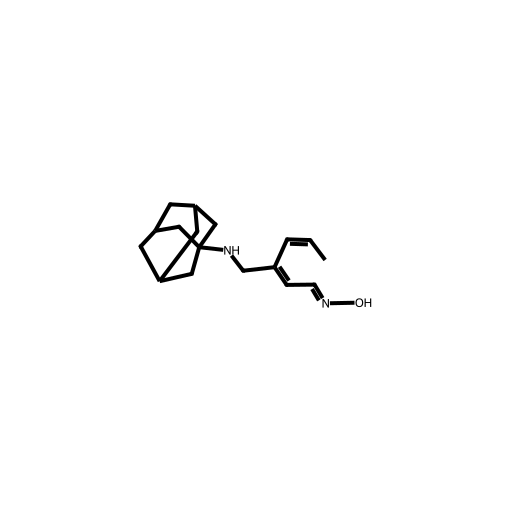 C\C=C/C(=C\C=N\O)CNC12CC3CC(CC(C3)C1)C2